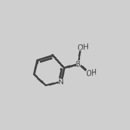 OB(O)C1=NCCC=C1